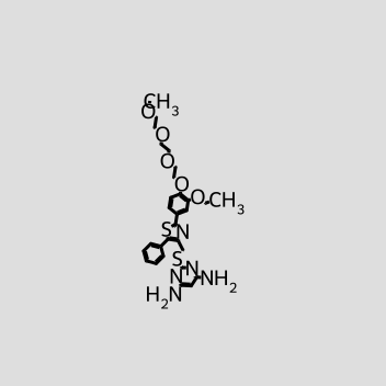 CCOc1cc(-c2nc(CSc3nc(N)cc(N)n3)c(-c3ccccc3)s2)ccc1OCCOCCOCCOC